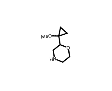 COC1(C2CNCCO2)CC1